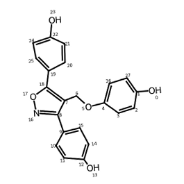 Oc1ccc(OCc2c(-c3ccc(O)cc3)noc2-c2ccc(O)cc2)cc1